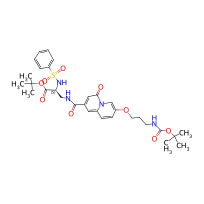 CC(C)(C)OC(=O)NCCCOc1ccc2cc(C(=O)NC[C@H](NS(=O)(=O)c3ccccc3)C(=O)OC(C)(C)C)cc(=O)n2c1